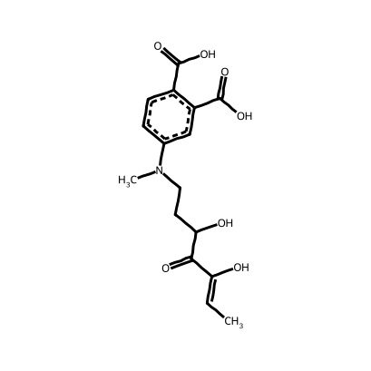 CC=C(O)C(=O)C(O)CCN(C)c1ccc(C(=O)O)c(C(=O)O)c1